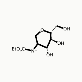 CCOC(=O)NC1CO[C@H](CO)[C@@H](O)[C@@H]1O